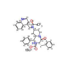 CC(C)(C)OC(=O)N[C@@H](Cc1ccccc1)C(=O)N1CCC(N(Cc2ccnc3ccccc23)C(=O)C(F)(F)F)CC1Cc1ccccc1